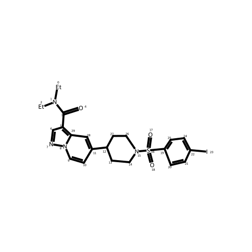 CCN(CC)C(=O)c1cnn2ccc(C3CCN(S(=O)(=O)c4ccc(I)cc4)CC3)cc12